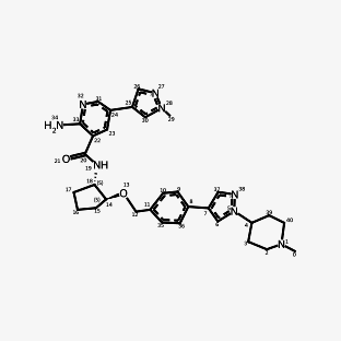 CN1CCC(n2cc(-c3ccc(CO[C@H]4CCC[C@@H]4NC(=O)c4cc(-c5cnn(C)c5)cnc4N)cc3)cn2)CC1